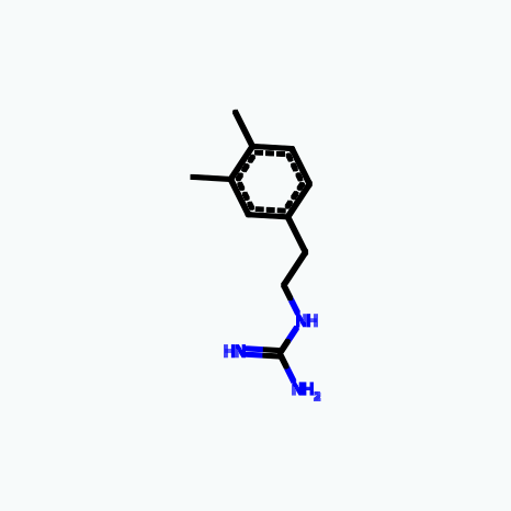 Cc1ccc(CCNC(=N)N)cc1C